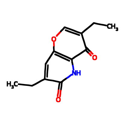 CCc1cc2occ(CC)c(=O)c2[nH]c1=O